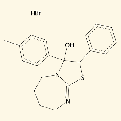 Br.Cc1ccc(C2(O)C(c3ccccc3)SC3=NCCCCN32)cc1